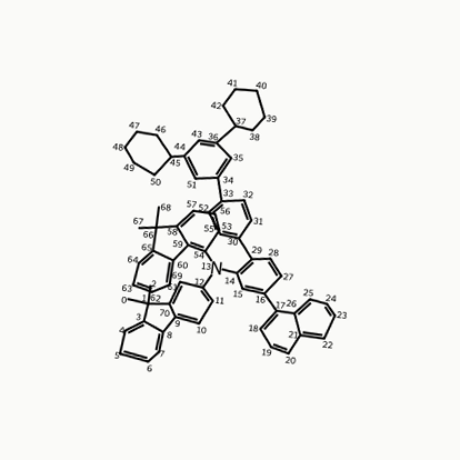 CC1(C)c2ccccc2-c2ccc(N(c3cc(-c4cccc5ccccc45)ccc3-c3ccc(-c4cc(C5CCCCC5)cc(C5CCCCC5)c4)cc3)c3cccc4c3-c3ccccc3C4(C)C)cc21